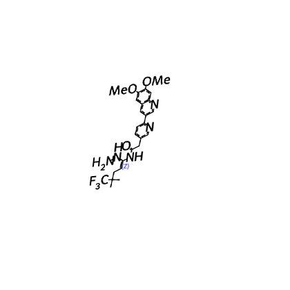 COc1cc2cc(-c3ccc(CC(=O)N/C(=C/CC(C)(C)C(F)(F)F)NN)cn3)cnc2cc1OC